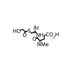 CN[C@@H](CCC(=O)O)C(=O)N[C@@H](CSC(=O)CO)C(C)=O